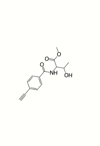 C#Cc1ccc(C(=O)NC(C(=O)OC)C(C)O)cc1